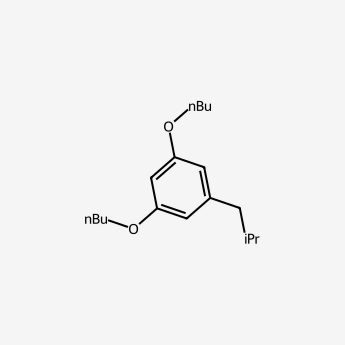 CCCCOc1cc(CC(C)C)cc(OCCCC)c1